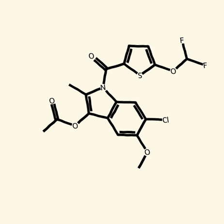 COc1cc2c(OC(C)=O)c(C)n(C(=O)c3ccc(OC(F)F)s3)c2cc1Cl